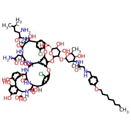 CCCCCCCCOc1ccc(CNCC(=O)N[C@@]2(C)C[C@H](OC3C(Oc4c5cc6cc4Oc4ccc(cc4Cl)[C@@H](O)[C@@H](NC(=O)[C@@H](N)CC(C)C)C(=O)N[C@@H](CC(N)=O)C(=O)N[C@H]6C(=O)N[C@H]4C(=O)N[C@H](C(=O)N[C@H](C(=O)O)c6cc(O)cc(O)c6-c6cc4ccc6O)[C@H](O)c4ccc(c(Cl)c4)O5)O[C@H](CO)[C@@H](O)[C@@H]3O)O[C@@H](C)[C@H]2O)cc1